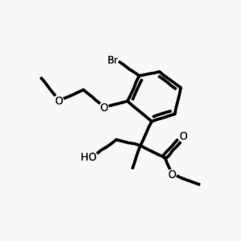 COCOc1c(Br)cccc1C(C)(CO)C(=O)OC